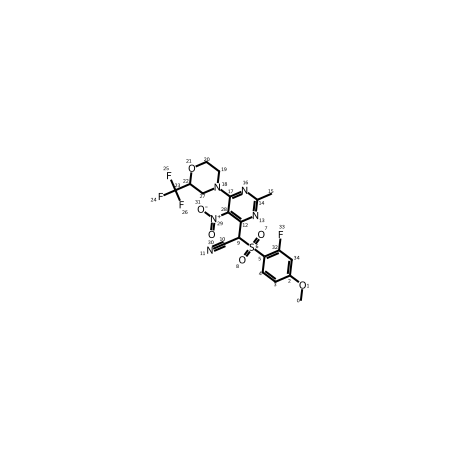 COc1ccc(S(=O)(=O)C(C#N)c2nc(C)nc(N3CCOC(C(F)(F)F)C3)c2[N+](=O)[O-])c(F)c1